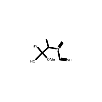 C=[N+](C=N)C(C)C(O)(OC)C(C)C